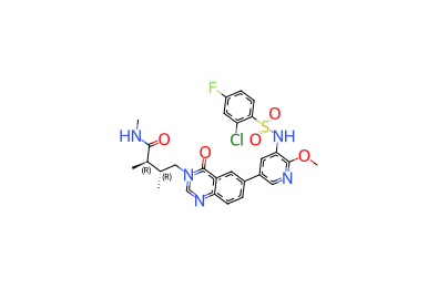 CNC(=O)[C@H](C)[C@@H](C)Cn1cnc2ccc(-c3cnc(OC)c(NS(=O)(=O)c4ccc(F)cc4Cl)c3)cc2c1=O